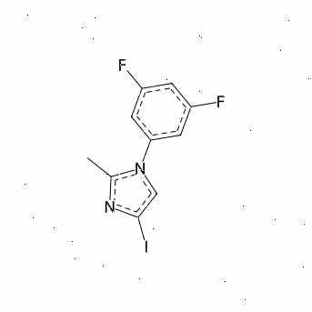 Cc1nc(I)cn1-c1cc(F)cc(F)c1